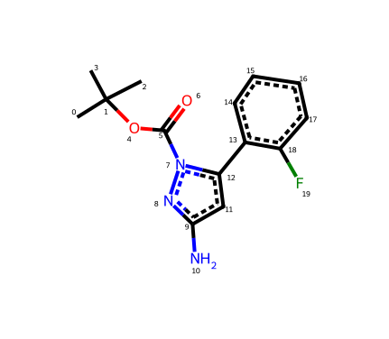 CC(C)(C)OC(=O)n1nc(N)cc1-c1ccccc1F